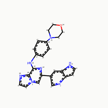 c1cn2cc(-c3cnc4cc[nH]c4c3)nc(Nc3ccc(N4CCOCC4)cc3)c2n1